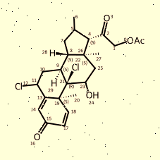 CC(=O)OCC(=O)[C@H]1C(C)C[C@H]2[C@@H]3CC(Cl)C4=CC(=O)C=C[C@]4(C)[C@@]3(Cl)C(O)C[C@]12C